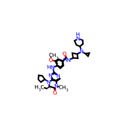 CC[C@@H]1C(=O)N(C)c2cnc(Nc3ccc(C(=O)NC4CC(N(C5CCNCC5)C5CC5)C4)cc3OC)nc2N1C1CCCC1